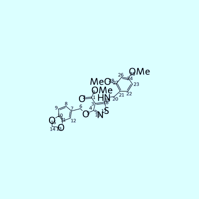 COC(=O)c1c(OCc2ccc3c(c2)OCO3)nsc1NCc1ccc(OC)cc1OC